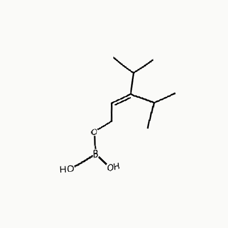 CC(C)C(=CCOB(O)O)C(C)C